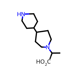 CC(C(=O)O)N1CCC(C2CCNCC2)CC1